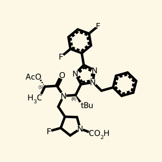 CC(=O)O[C@@H](C)C(=O)N(CC1CN(C(=O)O)CC1F)[C@@H](c1nc(-c2cc(F)ccc2F)nn1Cc1ccccc1)C(C)(C)C